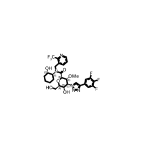 CO[C@@H]1[C@@H](n2cc(-c3cc(F)c(F)c(F)c3)nn2)[C@@H](O)[C@@H](CO)O[C@H]1C(=O)N(Cc1cccnc1C(F)(F)F)[C@H]1CCCC[C@@H]1O